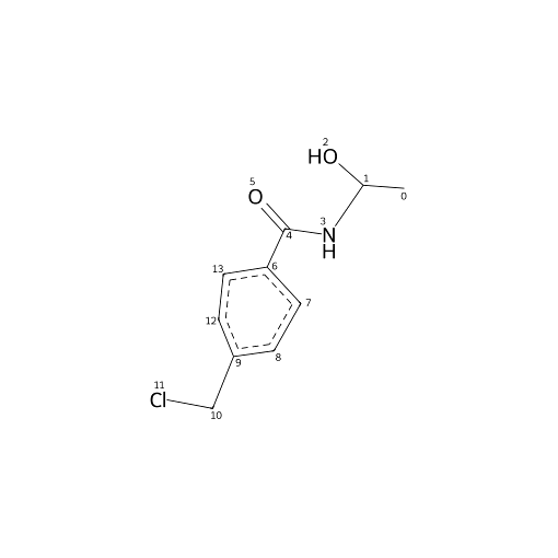 CC(O)NC(=O)c1ccc(CCl)cc1